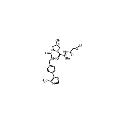 CCOCC(=O)N[C@H](C(=O)N1C[C@H](O)C[C@H]1C(=O)NCc1ccc(-c2scnc2C)cc1)C(C)(C)C